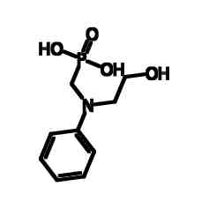 O=P(O)(O)CN(CCO)c1ccccc1